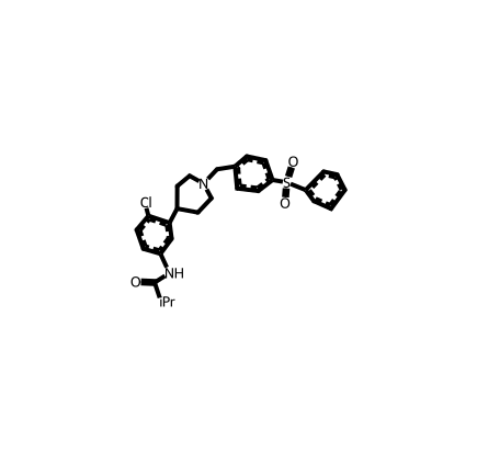 CC(C)C(=O)Nc1ccc(Cl)c(C2CCN(Cc3ccc(S(=O)(=O)c4ccccc4)cc3)CC2)c1